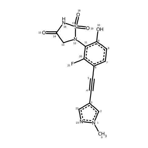 Cn1cc(C#Cc2ccc(O)c(N3CC(=O)NS3(=O)=O)c2F)cn1